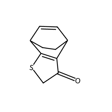 O=C1CSC2=C1C1C=CC2CC1